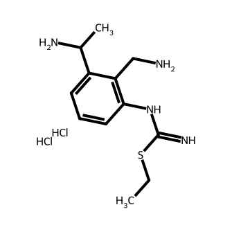 CCSC(=N)Nc1cccc(C(C)N)c1CN.Cl.Cl